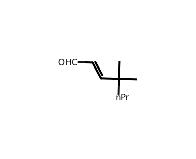 CCCC(C)(C)C=CC=O